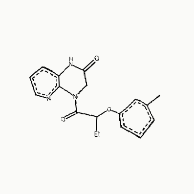 CCC(Oc1cccc(C)c1)C(=O)N1CC(=O)Nc2cccnc21